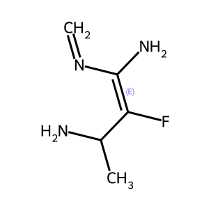 C=N/C(N)=C(/F)C(C)N